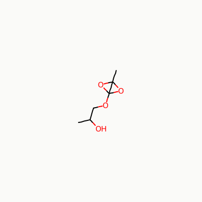 CC(O)COC12OC1(C)O2